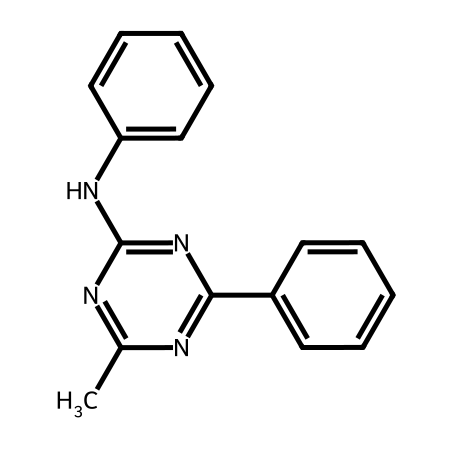 Cc1nc(Nc2ccccc2)nc(-c2ccccc2)n1